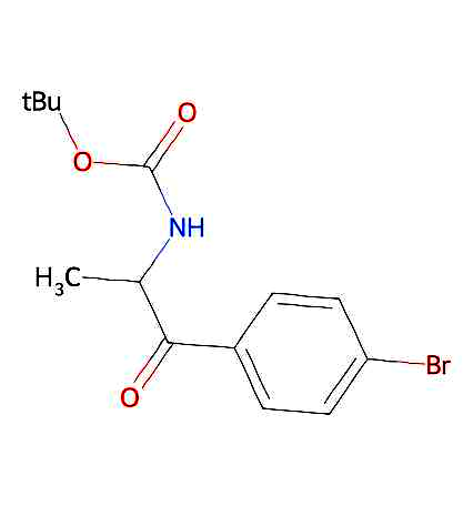 CC(NC(=O)OC(C)(C)C)C(=O)c1ccc(Br)cc1